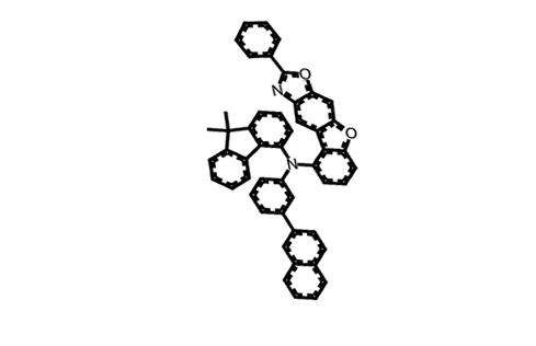 CC1(C)c2ccccc2-c2c(N(c3cccc(-c4ccc5ccccc5c4)c3)c3cccc4oc5cc6oc(-c7ccccc7)nc6cc5c34)cccc21